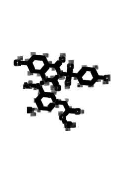 CC(=O)N(c1ccc[n+](CC(=O)OC(C)(C)C)c1)n1c(=O)n(S(=O)(=O)c2ccc(Cl)cc2)c(=O)c2ccc(Cl)cc21.[Br-]